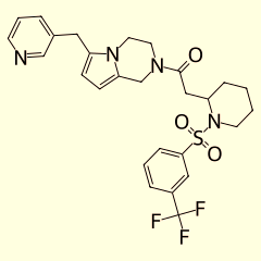 O=C(CC1CCCCN1S(=O)(=O)c1cccc(C(F)(F)F)c1)N1CCn2c(Cc3cccnc3)ccc2C1